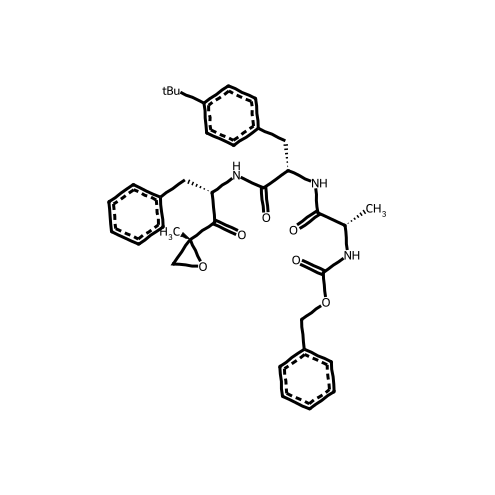 C[C@H](NC(=O)OCc1ccccc1)C(=O)N[C@@H](Cc1ccc(C(C)(C)C)cc1)C(=O)N[C@@H](Cc1ccccc1)C(=O)[C@@]1(C)CO1